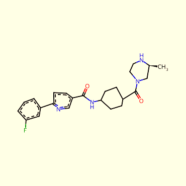 C[C@H]1CN(C(=O)C2CCC(NC(=O)c3ccc(-c4cccc(F)c4)nc3)CC2)CCN1